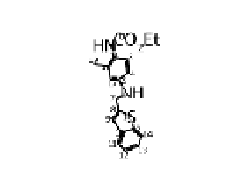 CCOC(=O)Nc1ccc(NCc2cc3ccccc3s2)cc1C